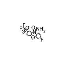 COc1ccc(S(=O)(=O)C(F)F)cc1N(C(N)=O)c1ccc(F)cc1